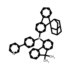 CC1(C)c2ccccc2-c2c(N(c3ccc(-c4cccnc4)cc3)c3ccc4c(c3)C3(c5ccccc5-4)C4CC5CC(C4)CC3C5)cccc21